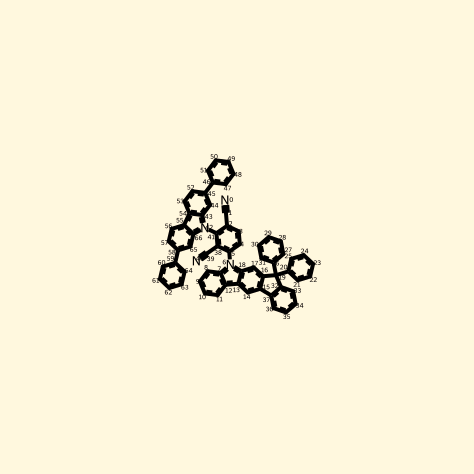 N#Cc1ccc(-n2c3ccccc3c3cc4c(cc32)C(c2ccccc2)(c2ccccc2)c2ccccc2-4)c(C#N)c1-n1c2cc(-c3ccccc3)ccc2c2ccc(-c3ccccc3)cc21